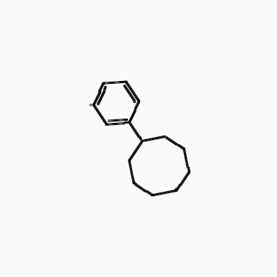 [c]1cccc(C2CCCCCCC2)c1